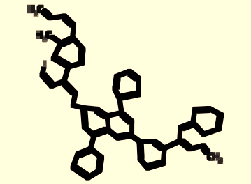 C=C/C=C\c1ccc(C(/C=C\I)=C/Cc2cc(-c3ccccc3)c3cc(-c4cccc(C(/C=C5/C=CC=CC5)=C/C=C)c4)cc(-c4ccccc4)c3c2)cc1C